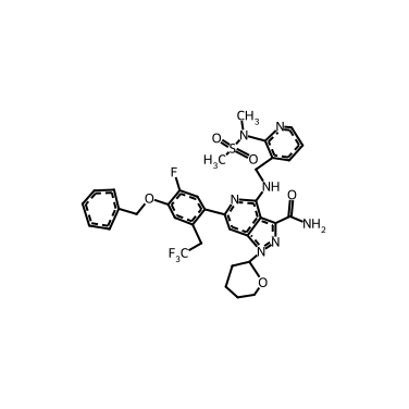 CN(c1ncccc1CNc1nc(-c2cc(F)c(OCc3ccccc3)cc2CC(F)(F)F)cc2c1c(C(N)=O)nn2C1CCCCO1)S(C)(=O)=O